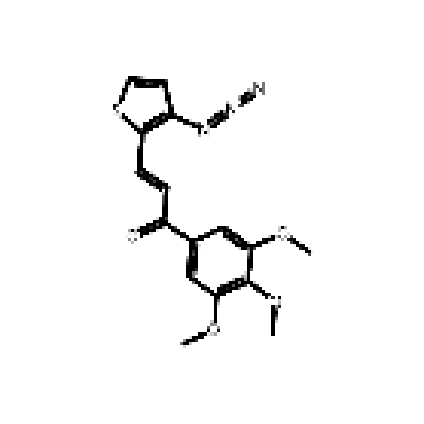 COc1cc(C(=O)/C=C/c2sccc2N=[N+]=[N-])cc(OC)c1OC